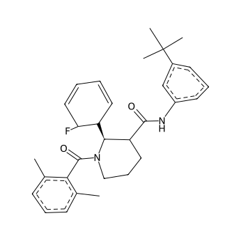 Cc1cccc(C)c1C(=O)N1CCCC(C(=O)Nc2cccc(C(C)(C)C)c2)[C@@H]1C1C=CC=CC1F